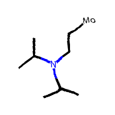 CC(C)N(C[CH2][Mo])C(C)C